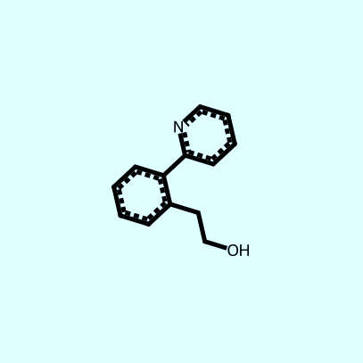 OCCc1ccccc1-c1ccccn1